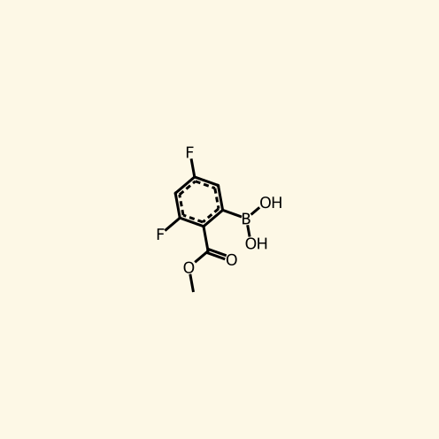 COC(=O)c1c(F)cc(F)cc1B(O)O